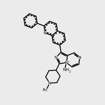 CC(=O)N1CCC(C2=NC(c3ccc4ccc(-c5ccccc5)nc4c3)=C3C=NC=C[N+]23N)CC1